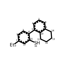 CCc1ccc(-c2cccc3c2CCCC3)c(S)c1